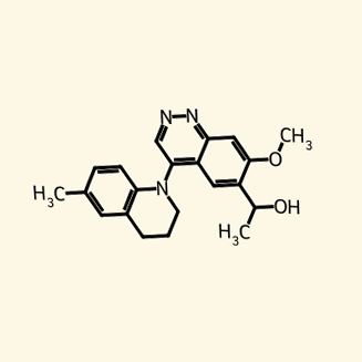 COc1cc2nncc(N3CCCc4cc(C)ccc43)c2cc1C(C)O